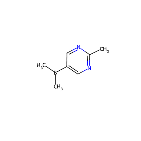 CB(C)c1cnc(C)nc1